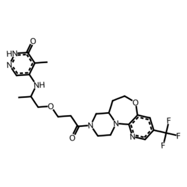 Cc1c(NC(C)COCCC(=O)N2CCN3c4ncc(C(F)(F)F)cc4OCCC3C2)cn[nH]c1=O